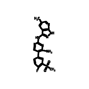 Cc1cnc2[nH]nc(Nc3ncc(-c4ccc(F)c(S(C)(=O)=O)c4)c(N)n3)c2c1